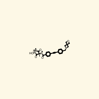 CNC(=O)[C@@](C)(C(=O)NO)N(C)C(=O)c1ccc(C#Cc2ccc(CN3CC4(COC4)C3)cc2)cc1